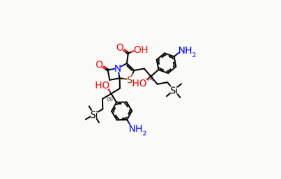 C[Si](C)(C)CC[C@](O)(CC1=C(C(=O)O)N2C(=O)CC2(C[C@@](O)(CC[Si](C)(C)C)c2ccc(N)cc2)S1)c1ccc(N)cc1